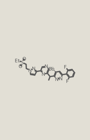 CC[C@H](C)c1cc(-c2c(F)cccc2F)nnc1C(C)c1cncc(-c2ccn(CCS(=O)(=O)CC)n2)n1